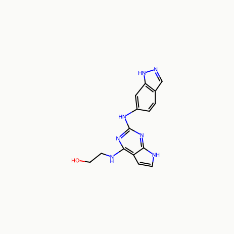 OCCNc1nc(Nc2ccc3cn[nH]c3c2)nc2[nH]ccc12